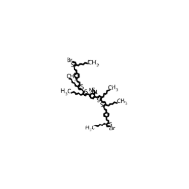 CCCCCCc1cc(Br)sc1/C=C/c1ccc(/C=C/c2sc(-c3sc(-c4ccc(-c5cc(CCCCCC)c(-c6cc(CCCCCC)c(/C=C/c7ccc(/C=C/c8sc(Br)cc8CCCCCC)cc7)s6)s5)c5nsnc45)cc3CCCCCC)cc2CCCCCC)cc1